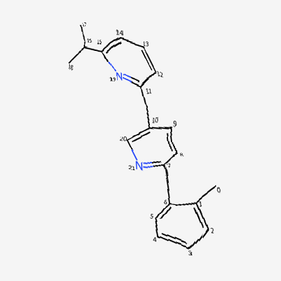 Cc1ccccc1-c1ccc(-c2cccc(C(C)C)n2)cn1